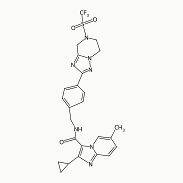 Cc1ccc2nc(C3CC3)c(C(=O)NCc3ccc(-c4nc5n(n4)CCN(S(=O)(=O)C(F)(F)F)C5)cc3)n2c1